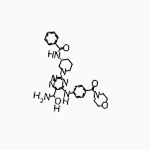 NC(O)c1nnc(N2CCC[C@@H](NC(=O)c3ccccc3)C2)nc1Nc1ccc(C(=O)N2CCOCC2)cc1